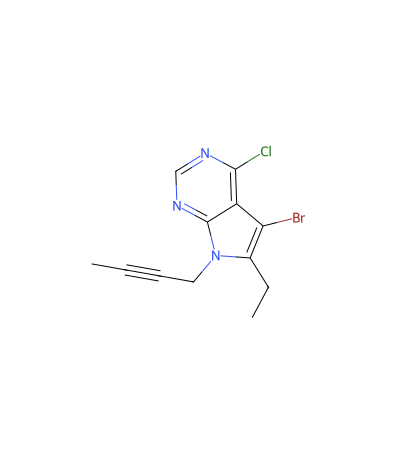 CC#CCn1c(CC)c(Br)c2c(Cl)ncnc21